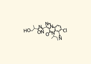 CCC(C)n1c(=O)c2c(-c3noc(C(C)CO)n3)ncn2c2ccc(Cl)c(C#N)c21